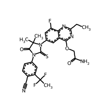 CCc1nc(OCC(N)=O)c2cc(N3C(=S)N(c4ccc(C#N)c(C(C)(F)F)c4)C(=O)C3(C)C)cc(F)c2n1